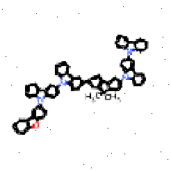 CC1(C)c2ccc(-n3c4ccccc4c4cc(-n5c6ccccc6c6ccccc65)ccc43)cc2-c2ccc(-c3ccc4c(c3)c3ccccc3n4-c3ccc4c(c3)c3ccccc3n4-c3ccc4oc5ccccc5c4c3)cc21